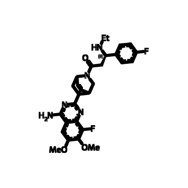 CCN[C@H](CC(=O)N1CC2CCC1C=C2c1nc(N)c2cc(OC)c(OC)c(F)c2n1)c1ccc(F)cc1